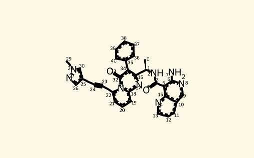 C[C@@H](NC(=O)c1c(N)ncc2cccnc12)c1nc2cccc(C#Cc3cnn(C)c3)n2c(=O)c1-c1ccccc1